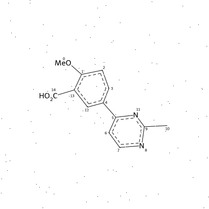 COc1ccc(-c2ccnc(C)n2)cc1C(=O)O